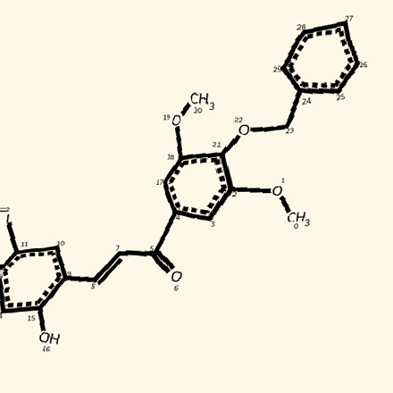 COc1cc(C(=O)C=Cc2cc(I)ccc2O)cc(OC)c1OCc1ccccc1